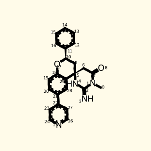 CN1C(=N)N[C@@]2(CC1=O)C[C@H](c1ccccc1)Oc1ccc(-c3ccncc3)cc12